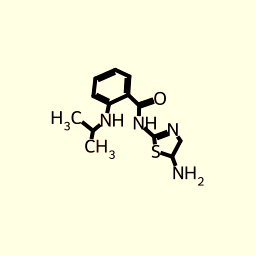 CC(C)Nc1ccccc1C(=O)NC1=NCC(N)S1